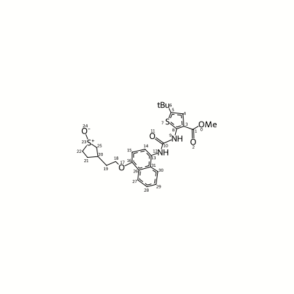 COC(=O)c1cc(C(C)(C)C)sc1NC(=O)Nc1ccc(OCCC2CC[S+]([O-])C2)c2ccccc12